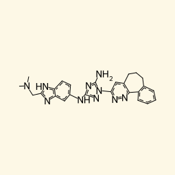 CN(C)Cc1nc2cc(Nc3nc(N)n(-c4cc5c(nn4)-c4ccccc4CCC5)n3)ccc2[nH]1